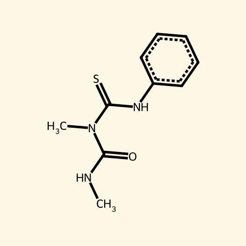 CNC(=O)N(C)C(=S)Nc1ccccc1